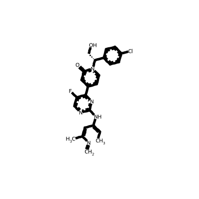 C=N/C(C)=C\C(=C/C)Nc1ncc(F)c(-c2ccn([C@H](CO)c3ccc(Cl)cc3)c(=O)c2)n1